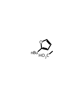 CC(=O)O.CCCCc1ccco1